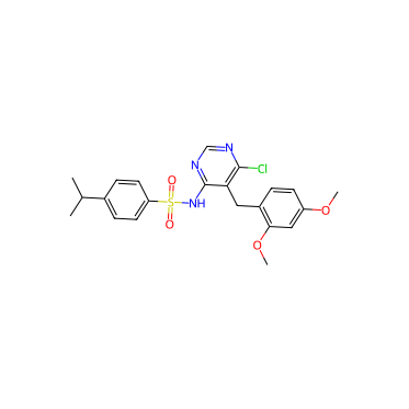 COc1ccc(Cc2c(Cl)ncnc2NS(=O)(=O)c2ccc(C(C)C)cc2)c(OC)c1